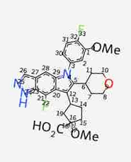 COc1cc(-n2c(C3CCOCC3)c(C3CC[C@@](OC)(C(=O)O)C3)c3c(F)c4[nH]ncc4cc32)ccc1F